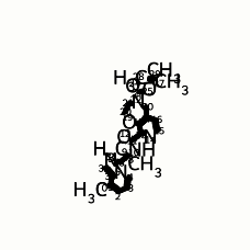 Cc1cccn2c(C(C)(C)NC(=O)c3nccc4c3OCCN(C(=O)OC(C)(C)C)C4)ncc12